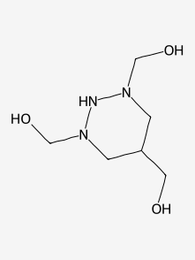 OCC1CN(CO)NN(CO)C1